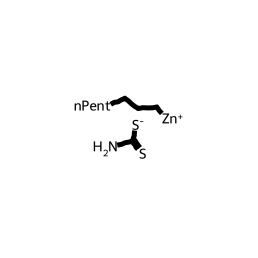 CCCCCCC[CH2][Zn+].NC(=S)[S-]